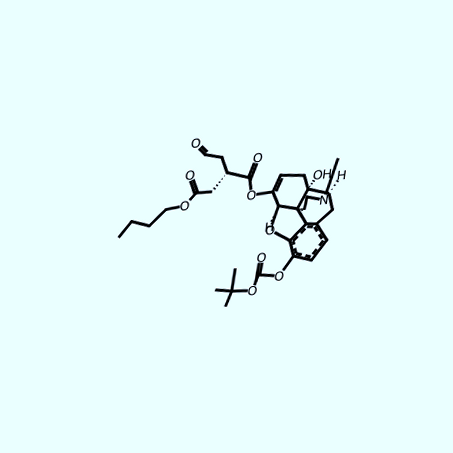 CCCCOC(=O)C[C@H](CC=O)C(=O)OC1=CC[C@@]2(O)[C@H]3Cc4ccc(OC(=O)OC(C)(C)C)c5c4[C@@]2(CCN3C)[C@H]1O5